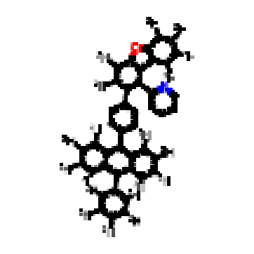 [2H]c1c([2H])c([2H])c(-c2c3c([2H])c([2H])c([2H])c([2H])c3c(-c3ccc(-c4c([2H])c([2H])c5oc6c([2H])c([2H])c([2H])c([2H])c6c5c4-c4ccccn4)cc3)c3c([2H])c([2H])c([2H])c([2H])c23)c([2H])c1[2H]